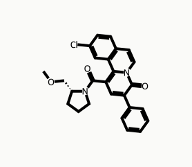 COC[C@H]1CCCN1C(=O)c1cc(-c2ccccc2)c(=O)n2ccc3ccc(Cl)cc3c12